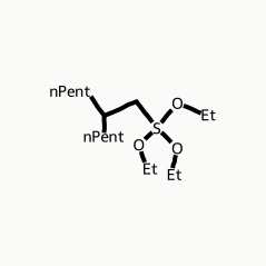 CCCCCC(CCCCC)CS(OCC)(OCC)OCC